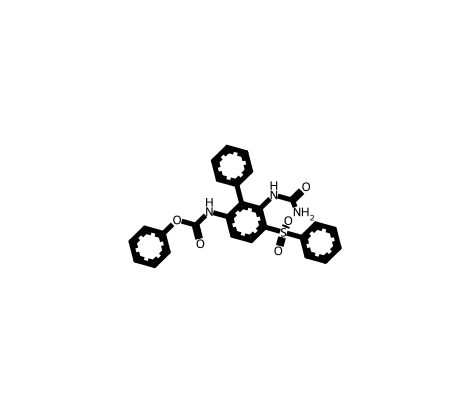 NC(=O)Nc1c(S(=O)(=O)c2ccccc2)ccc(NC(=O)Oc2ccccc2)c1-c1ccccc1